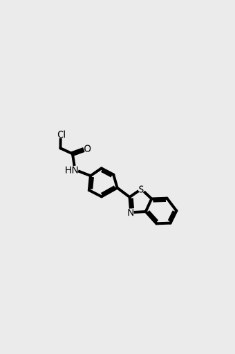 O=C(CCl)Nc1ccc(-c2nc3ccccc3s2)cc1